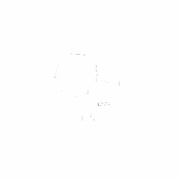 CB1CCCCCCCB1C(N)=O